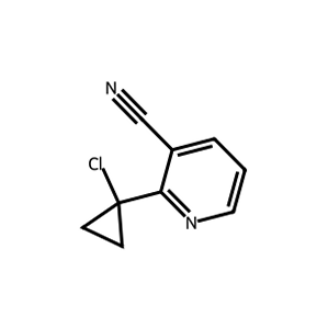 N#Cc1cccnc1C1(Cl)CC1